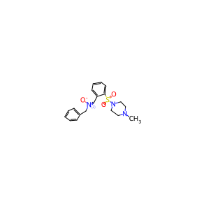 CN1CCN(S(=O)(=O)c2ccccc2/C=[N+](\[O-])Cc2ccccc2)CC1